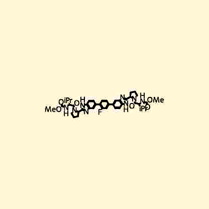 COC(=O)NC(C(=O)N1CCCC1c1nc2cc(-c3ccc(-c4ccc5[nH]c(C6CCCN6C(=O)[C@@H](NC(=O)OC)C(C)C)nc5c4)c(F)c3)ccc2[nH]1)C(C)C